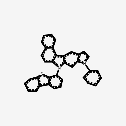 c1ccc(-n2ccc3cc4c5c6ccccc6ccc5n(-c5cccc6c5sc5ccccc56)c4cc32)cc1